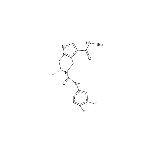 C[C@@H]1Cn2ncc(C(=O)NC(C)(C)C)c2CN1C(=O)Nc1ccc(F)c(F)c1